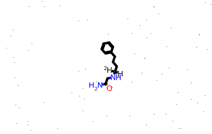 [2H]C([2H])(CCCc1ccccc1)NCC(N)=O